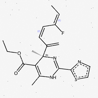 C=C(/C=C\C(F)=C/C)[C@@]1(C)N=C(c2nccs2)NC(C)=C1C(=O)OCC